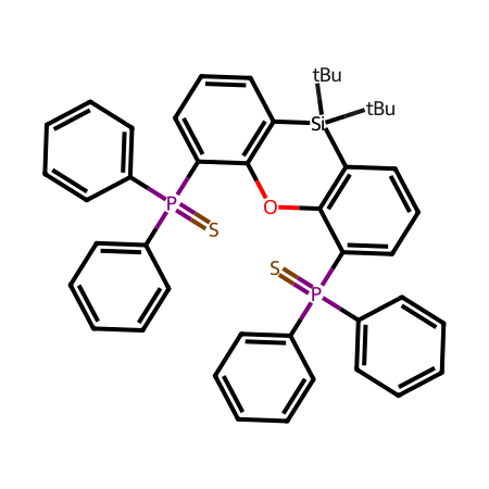 CC(C)(C)[Si]1(C(C)(C)C)c2cccc(P(=S)(c3ccccc3)c3ccccc3)c2Oc2c1cccc2P(=S)(c1ccccc1)c1ccccc1